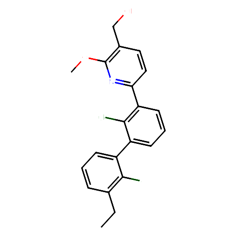 CCc1cccc(-c2cccc(-c3ccc(CO)c(OC)n3)c2Cl)c1Cl